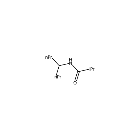 CCCC(CCC)NC(=O)C(C)C